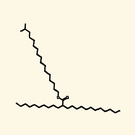 CCCCCCCCCCCCC(CCCCCCCCCC)C(=O)OCCCCCCCCCCCCCCCC(C)C